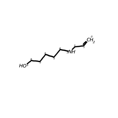 C=CCNCCCCCO